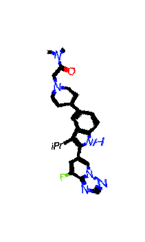 CC(C)c1c(-c2cc(F)c3ncnn3c2)[nH]c2ccc(C3CCN(CC(=O)N(C)C)CC3)cc12